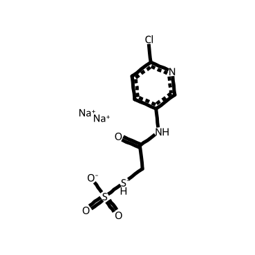 O=C(C[SH-]S(=O)(=O)[O-])Nc1ccc(Cl)nc1.[Na+].[Na+]